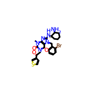 Cn1c(=O)n(CC(=O)c2ccsc2)c(=O)c2c1nc(N[C@H]1CCCCC1N)n2Cc1ccccc1Br